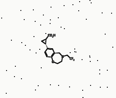 O=C(O)C1C[C@H]1c1ccc2c(c1)CN(CC(F)(F)F)CCO2